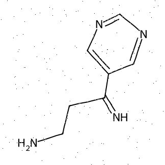 N=C(CCN)c1cncnc1